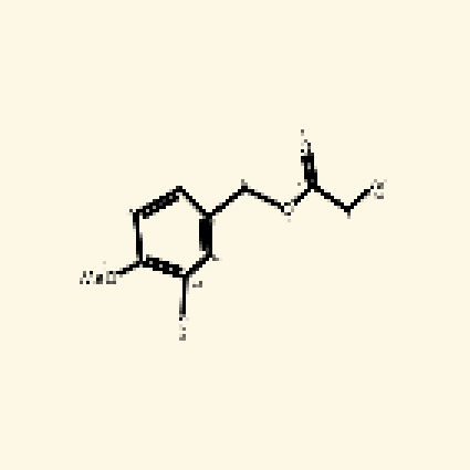 COc1ccc(COC(=O)CC(C)=O)cc1Cl